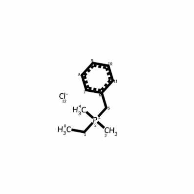 CC[P+](C)(C)Cc1ccccc1.[Cl-]